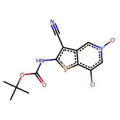 CC(C)(C)OC(=O)Nc1sc2c(Cl)c[n+]([O-])cc2c1C#N